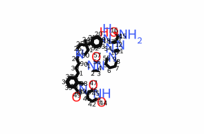 CN1CCN([C@@H]2CCCN(c3cnc(C(N)O)c(Nc4ccc(C5(C)CCN(CCCCc6cccc7c6CN(C6CCC(=O)NC6=O)C7=O)CC5)cc4)n3)C2)C1=O